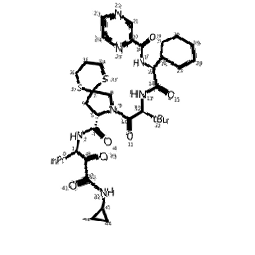 CCCC(NC(=O)[C@@H]1CC2(CN1C(=O)[C@@H](NC(=O)[C@@H](NC(=O)c1cnccn1)C1CCCCC1)C(C)(C)C)SCCCS2)C(=O)C(=O)NC1CC1